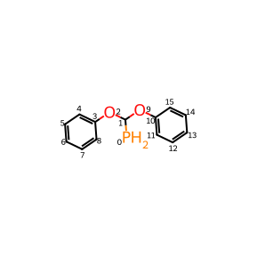 PC(Oc1ccccc1)Oc1ccccc1